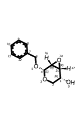 O[C@@H]1CO[C@H](OCc2ccccc2)[C@@H]2O[C@@H]21